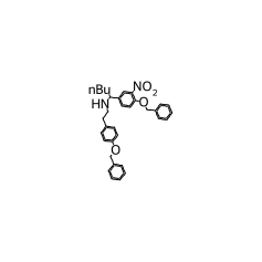 CCCCC(NCCc1ccc(OCc2ccccc2)cc1)c1ccc(OCc2ccccc2)c([N+](=O)[O-])c1